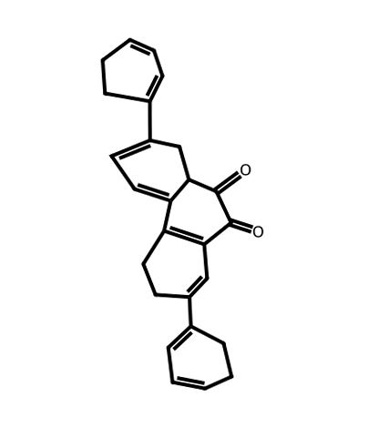 O=C1C(=O)C2CC(C3=CC=CCC3)=CC=C2C2=C1C=C(C1=CC=CCC1)CC2